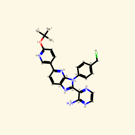 [2H]C([2H])([2H])Oc1ccc(-c2ccc3nc(-c4nccnc4N)n(-c4ccc(CCl)cc4)c3n2)cn1